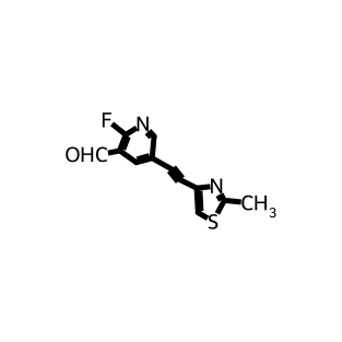 Cc1nc(C#Cc2cnc(F)c(C=O)c2)cs1